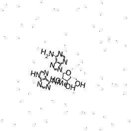 CNc1ncnc2[nH]cnc12.Nc1ncnc2c1ncn2[C@@H]1O[C@H](CO)[C@@H](O)[C@@H]1O